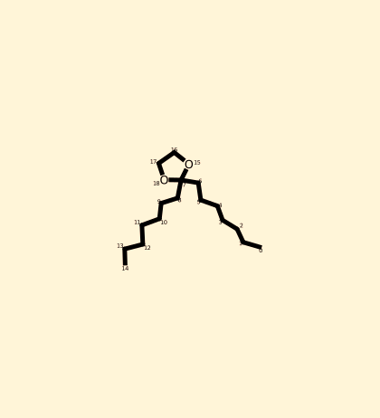 CCCCCCCC1(CCCCCCC)OCCO1